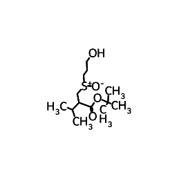 CC(C)C(C[S+]([O-])CCCO)C(=O)OC(C)(C)C